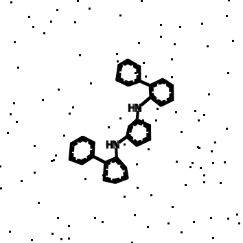 c1ccc(-c2ccccc2Nc2cccc(Nc3ccccc3-c3ccccc3)c2)cc1